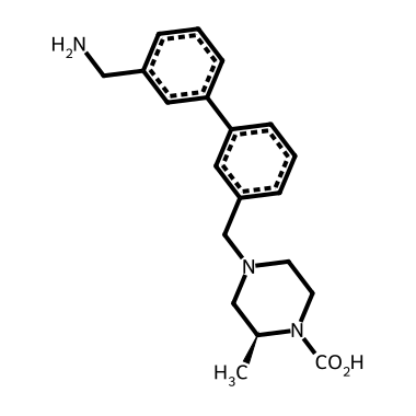 C[C@H]1CN(Cc2cccc(-c3cccc(CN)c3)c2)CCN1C(=O)O